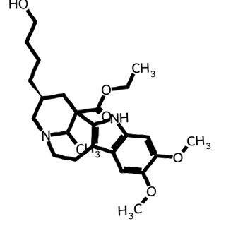 CCOC(=O)C12C[C@H](CCCCO)CN(CCc3c1[nH]c1cc(OC)c(OC)cc31)C2C